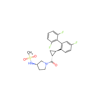 CS(=O)(=O)N[C@@H]1CCN(C(=O)[C@@H]2C[C@H]2c2ccc(F)cc2-c2c(F)cccc2F)C1